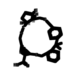 CC1(C)c2ccc(cc2)OC[C@H]2C(Cl)=CC[C@@H]2COCc2cc(c(C(=O)O)s2)OCc2ccccc21